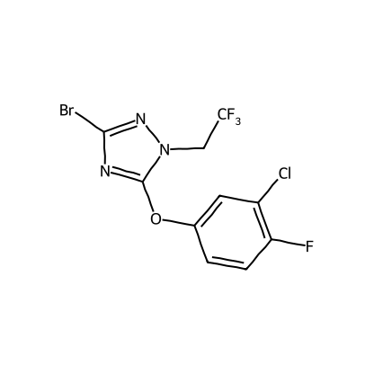 Fc1ccc(Oc2nc(Br)nn2CC(F)(F)F)cc1Cl